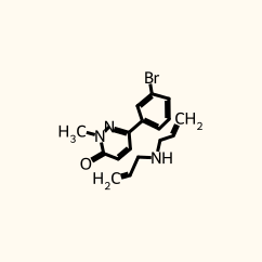 C=CCNCC=C.Cn1nc(-c2cccc(Br)c2)ccc1=O